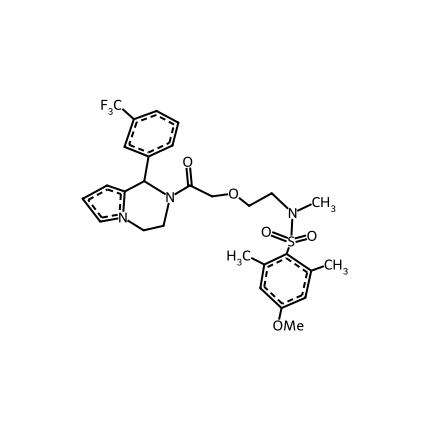 COc1cc(C)c(S(=O)(=O)N(C)CCOCC(=O)N2CCn3cccc3C2c2cccc(C(F)(F)F)c2)c(C)c1